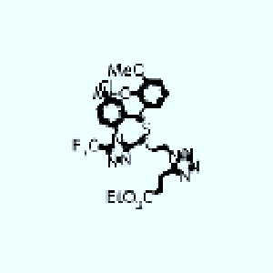 CCOC(=O)CCc1nnnn1CC[C@H]1S[C@H](c2cccc(OC)c2OC)c2cc(Cl)ccc2-n2c1nnc2C(F)(F)F